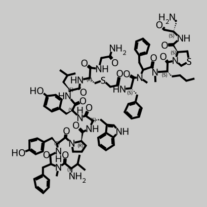 CCCC[C@@H](C(=O)N1CSC[C@@H]1C(=O)N[C@H](C=O)CN)N(C)C(=O)C(Cc1ccccc1)N(C)C(=O)[C@H](Cc1ccccc1)NC(=O)CSC[C@H](NC(=O)[C@H](CC(C)C)NC(=O)[C@H](Cc1ccc(O)cc1)NC(=O)[C@H](Cc1c[nH]c2ccccc12)NC(=O)[C@H]1CCCN1C(=O)[C@H](Cc1ccc(O)cc1)NC(=O)C(Cc1ccccc1)N(C)C(=O)[C@@H](N)C(C)C)C(=O)NCC(N)=O